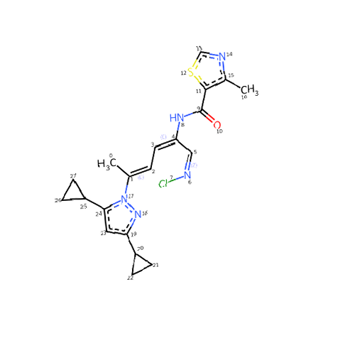 C\C(=C/C=C(\C=N/Cl)NC(=O)c1scnc1C)n1nc(C2CC2)cc1C1CC1